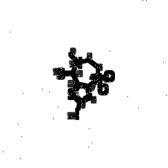 CN1CCS(=O)(=O)c2cc(I)sc2C1=S